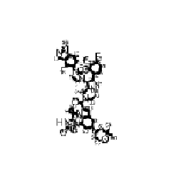 C[C@H]1c2c(-n3ccn(-c4ccc5c(cnn5C)c4F)c3=O)c(-c3ccc(F)c(C(F)(F)F)c3)nn2CCN1C(=O)c1cc2c(n1C1(c3noc(=O)[nH]3)CC1)C=CC([C@@H]1CCOC(C)(C)C1)C2